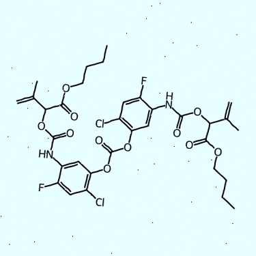 C=C(C)C(OC(=O)Nc1cc(OC(=O)Oc2cc(NC(=O)OC(C(=C)C)C(=O)OCCCC)c(F)cc2Cl)c(Cl)cc1F)C(=O)OCCCC